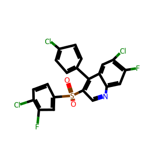 O=S(=O)(c1ccc(Cl)c(F)c1)c1cnc2cc(F)c(Cl)cc2c1-c1ccc(Cl)cc1